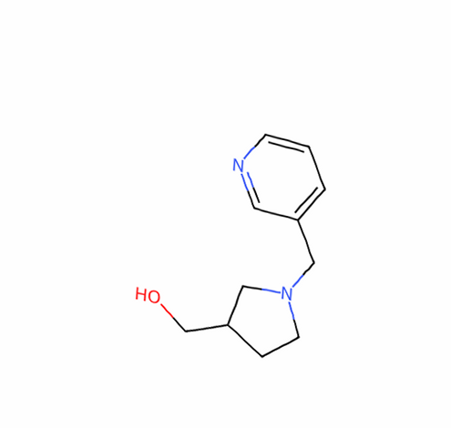 OCC1CCN(Cc2cccnc2)C1